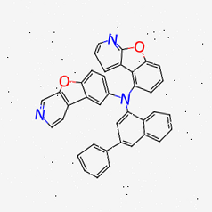 c1ccc(-c2cc(N(c3ccc4oc5cnccc5c4c3)c3cccc4oc5ncccc5c34)c3ccccc3c2)cc1